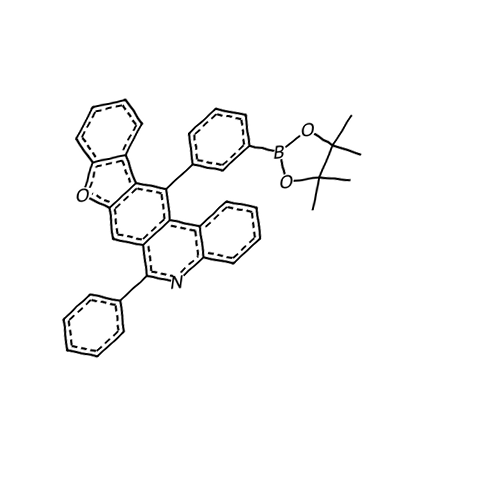 CC1(C)OB(c2cccc(-c3c4c(cc5c(-c6ccccc6)nc6ccccc6c35)oc3ccccc34)c2)OC1(C)C